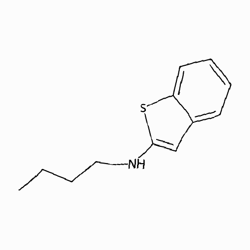 CCCCNc1cc2ccccc2s1